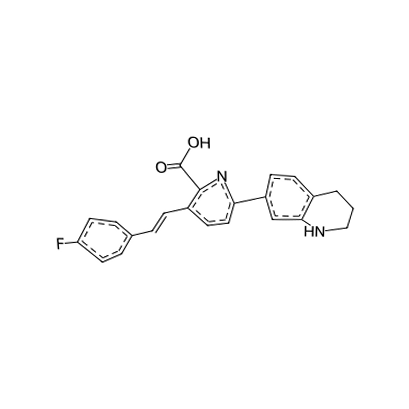 O=C(O)c1nc(-c2ccc3c(c2)NCCC3)ccc1/C=C/c1ccc(F)cc1